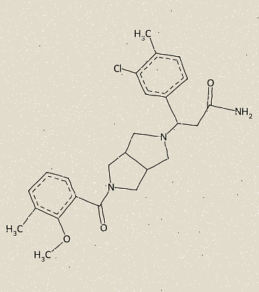 COc1c(C)cccc1C(=O)N1CC2CN(C(CC(N)=O)c3ccc(C)c(Cl)c3)CC2C1